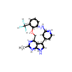 Cc1nc(COc2ccccc2C(F)(F)F)c2c(-c3ccnc(N)c3)c[nH]c2n1